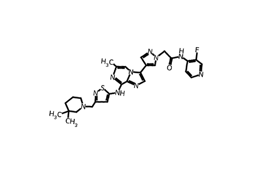 Cc1cn2c(-c3cnn(CC(=O)Nc4ccncc4F)c3)cnc2c(Nc2cc(CN3CCCC(C)(C)C3)ns2)n1